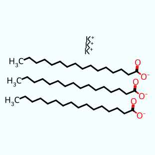 CCCCCCCCCCCCCCCC(=O)[O-].CCCCCCCCCCCCCCCC(=O)[O-].CCCCCCCCCCCCCCCC(=O)[O-].[K+].[K+].[K+]